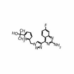 CC(C)(O)c1cccc(Cn2cc(-c3nc(N)nc4cc(F)ccc34)nn2)n1